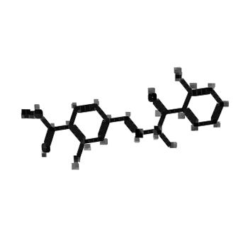 COC(=O)c1ccc(/C=N/N(C)C(=O)c2ccccc2F)cc1F